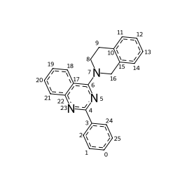 c1ccc(-c2nc(N3CCc4ccccc4C3)c3ccccc3n2)cc1